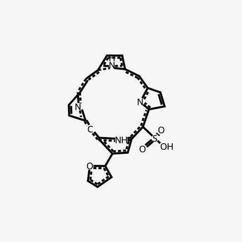 O=S(=O)(O)c1c2nc(cc3ccc(cc4nc(cc5[nH]c1cc5-c1ccco1)C=C4)[nH]3)C=C2